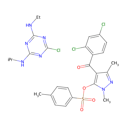 CCNc1nc(Cl)nc(NC(C)C)n1.Cc1ccc(S(=O)(=O)Oc2c(C(=O)c3ccc(Cl)cc3Cl)c(C)nn2C)cc1